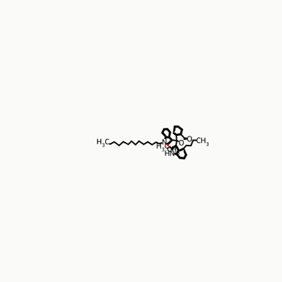 CCCCCCCCCCCCCCn1c(C)c(C2(c3c(C)[nH]c4cccc(CCCC)c34)OC(=O)c3ccccc32)c2ccccc21